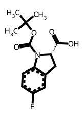 CC(C)(C)OC(=O)N1c2ccc(F)cc2C[C@H]1C(=O)O